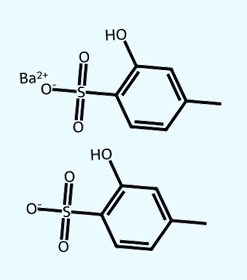 Cc1ccc(S(=O)(=O)[O-])c(O)c1.Cc1ccc(S(=O)(=O)[O-])c(O)c1.[Ba+2]